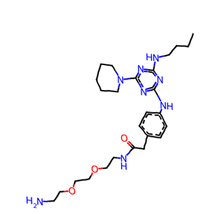 CCCCNc1nc(Nc2ccc(CC(=O)NCCOCCOCCN)cc2)nc(N2CCCCC2)n1